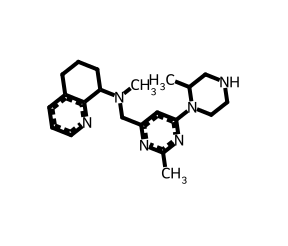 Cc1nc(CN(C)C2CCCc3cccnc32)cc(N2CCNCC2C)n1